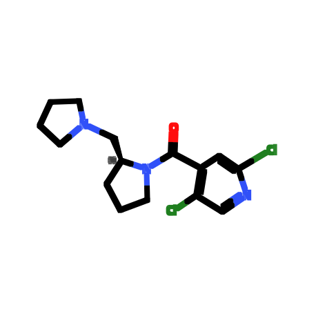 O=C(c1cc(Cl)ncc1Cl)N1CCC[C@H]1CN1CCCC1